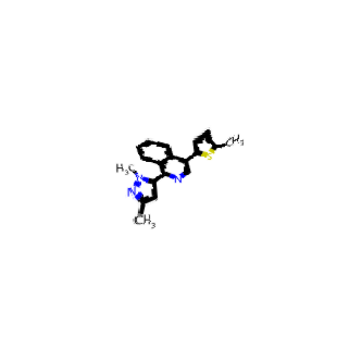 Cc1cc(-c2ncc(-c3ccc(C)s3)c3ccccc23)n(C)n1